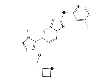 Cc1cc(Nc2cc3cc(-c4c(OCC5CCN5)cnn4C)ccn3n2)ncn1